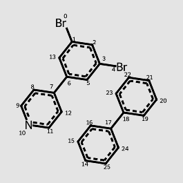 Brc1cc(Br)cc(-c2ccncc2)c1.c1ccc(-c2ccccc2)cc1